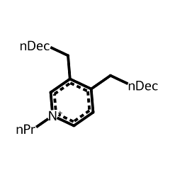 CCCCCCCCCCCc1cc[n+](CCC)cc1CCCCCCCCCCC